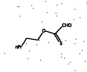 CCCCCOC(=S)C=O